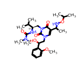 COc1ccccc1C(O)Cn1cc(C(C)NOC(C)C)c(=O)n(C[C@@H](NC(=O)N(C)C)C(C)C)c1=O